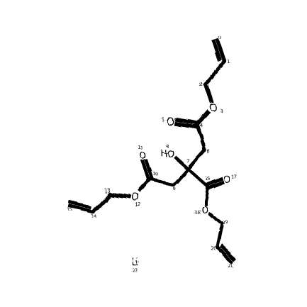 C=CCOC(=O)CC(O)(CC(=O)OCC=C)C(=O)OCC=C.[Li]